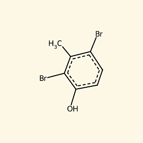 Cc1c(Br)ccc(O)c1Br